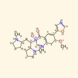 COC1CC2=C(C=C1c1cnco1)C(=O)[N+]([O-])(C(CC1CCCN1C)C1CCCN1C)C=N2